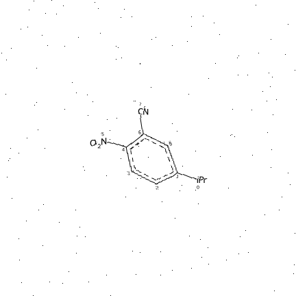 [CH2]C(C)c1ccc([N+](=O)[O-])c(C#N)c1